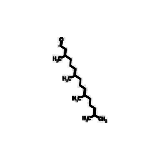 CC(C)=CCC/C(C)=C/CC/C(C)=C/CC/C(C)=C/[C]=O